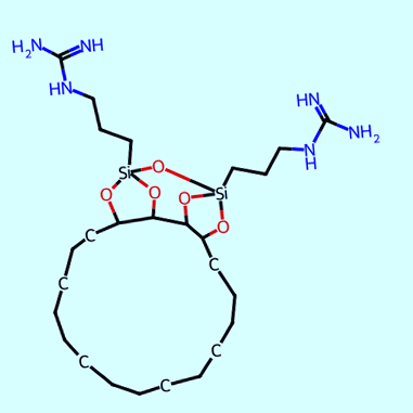 N=C(N)NCCC[Si]12OC3CCCCCCCCCCCCCCC4O[Si](CCCNC(=N)N)(OC4C3O1)O2